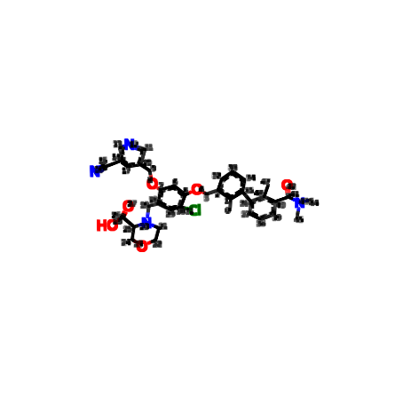 Cc1c(COc2cc(OCc3cncc(C#N)c3)c(CN3CCOCC3C(=O)O)cc2Cl)cccc1-c1cccc(C(=O)N(C)C)c1C